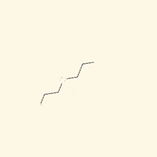 Cl.Cl.ClCCNCCCl